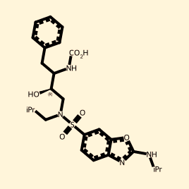 CC(C)CN(C[C@@H](O)C(Cc1ccccc1)NC(=O)O)S(=O)(=O)c1ccc2nc(NC(C)C)oc2c1